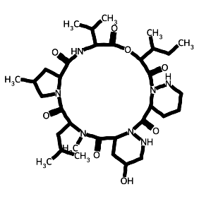 CCC(C)C1OC(=O)C(C(C)C)NC(=O)C2CC(C)CN2C(=O)C(CC(C)C)N(C)C(=O)C2CC(O)CNN2C(=O)C2CCCNN2C1=O